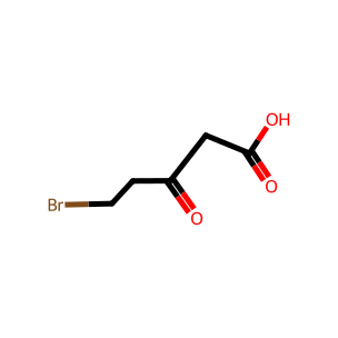 O=C(O)CC(=O)CCBr